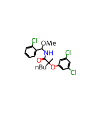 CCCCC(C)(Oc1cc(Cl)cc(Cl)c1)C(=O)NC(OC)c1ccccc1Cl